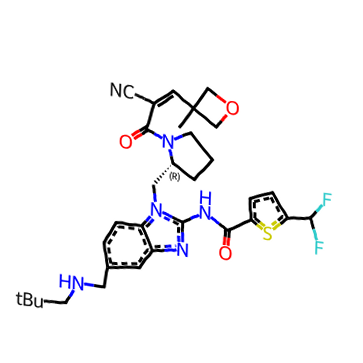 CC(C)(C)CNCc1ccc2c(c1)nc(NC(=O)c1ccc(C(F)F)s1)n2C[C@H]1CCCN1C(=O)C(C#N)=CC1(C)COC1